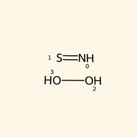 N=S.OO